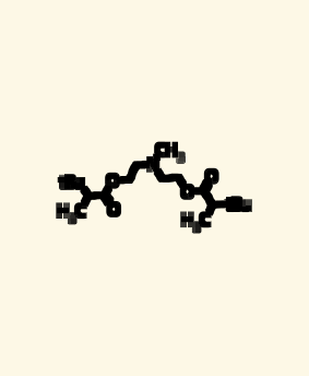 CC(C(=O)OCCN(C)CCOC(=O)C(C)C(C)(C)C)C(C)(C)C